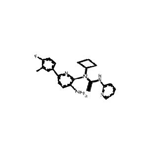 C=C(Nc1ccccn1)N(c1nc(-c2ccc(F)c(C)c2)ccc1N)C1CCC1